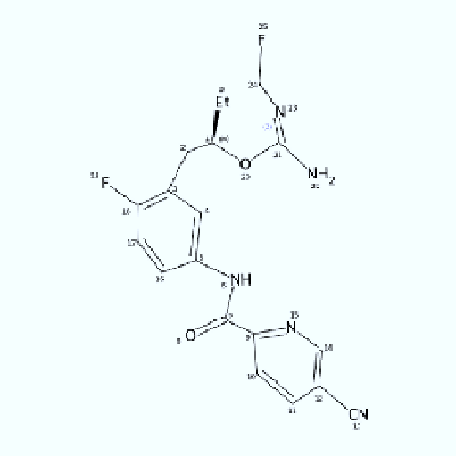 CC[C@H](Cc1cc(NC(=O)c2ccc(C#N)cn2)ccc1F)O/C(N)=N\CF